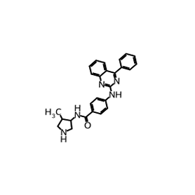 CC1CNCC1NC(=O)c1ccc(Nc2nc(-c3ccccc3)c3ccccc3n2)cc1